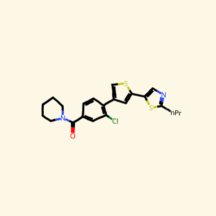 CCCc1ncc(-c2cc(-c3ccc(C(=O)N4CCCCC4)cc3Cl)cs2)s1